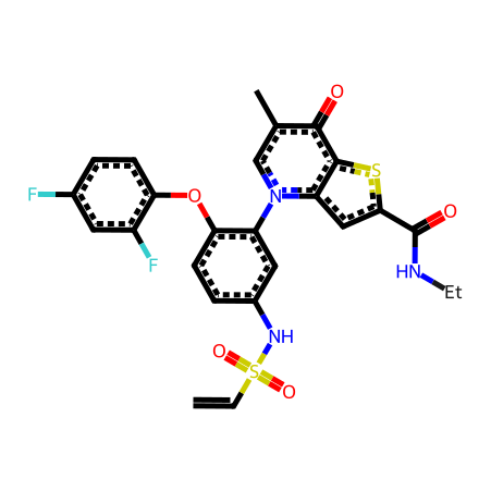 C=CS(=O)(=O)Nc1ccc(Oc2ccc(F)cc2F)c(-n2cc(C)c(=O)c3sc(C(=O)NCC)cc32)c1